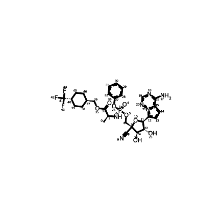 C[C@H](N[P@](=O)(OC[C@@]1(C#N)O[C@@H](c2ccc3c(N)ncnn23)[C@H](O)[C@@H]1O)Oc1ccccc1)C(=O)OC[C@H]1CC[C@H](C(F)(F)F)CC1